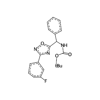 CC(C)(C)OC(=O)NC(c1ccccc1)c1nc(-c2cccc(F)c2)no1